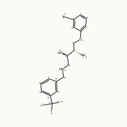 N[C@@H](COc1cccc(Br)c1)[C@H](O)CNCc1cccc(C(F)(F)F)c1